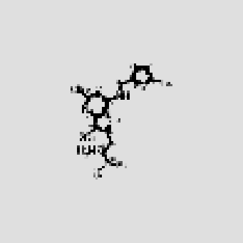 C[C@@H](F)[C@H](N)Cc1oc2c(NCc3ccc(F)s3)cc(Cl)nc2c1Br